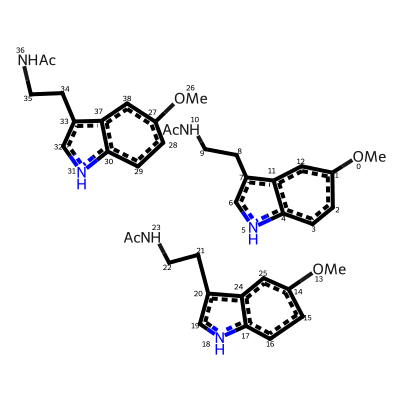 COc1ccc2[nH]cc(CCNC(C)=O)c2c1.COc1ccc2[nH]cc(CCNC(C)=O)c2c1.COc1ccc2[nH]cc(CCNC(C)=O)c2c1